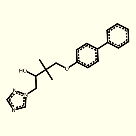 CC(C)(COc1ccc(-c2ccccc2)cc1)C(O)Cn1cncn1